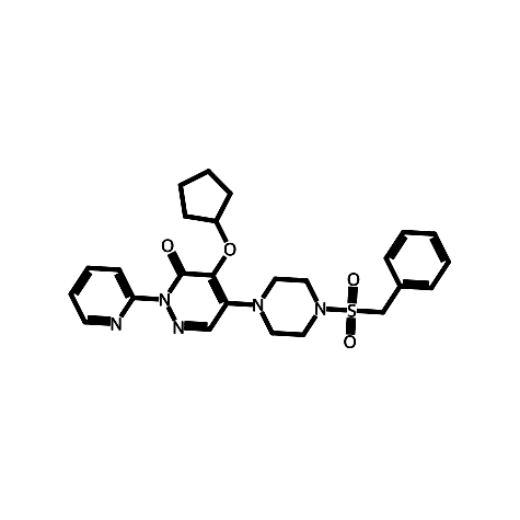 O=c1c(OC2CCCC2)c(N2CCN(S(=O)(=O)Cc3ccccc3)CC2)cnn1-c1ccccn1